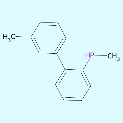 CPc1ccccc1-c1cccc(C)c1